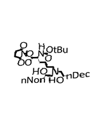 CCCCCCCCCC[C@H](O)CN(CCCC[C@@H](NC(=O)OC(C)(C)C)C(=O)ON1C(=O)CCC1=O)C[C@@H](O)CCCCCCCCC